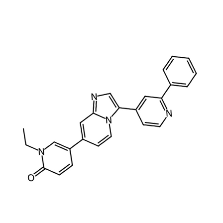 CCn1cc(-c2ccn3c(-c4ccnc(-c5ccccc5)c4)cnc3c2)ccc1=O